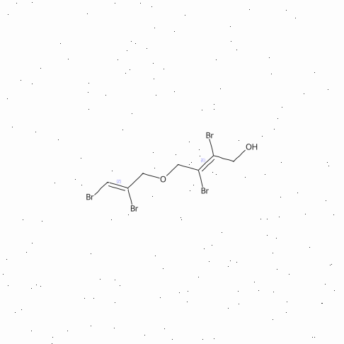 OC/C(Br)=C(\Br)COC/C(Br)=C/Br